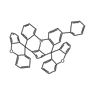 c1ccc(-c2ccc3c(c2)C2(c4ccccc4Oc4ccccc42)c2cccc4c2N3c2ccccc2C42c3ccccc3Oc3ccccc32)cc1